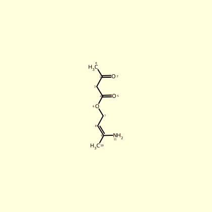 CC(=O)CC(=O)OCC=C(C)N